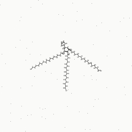 CCCCCCCCCCCCCCCCCCOc1cc(C2CSSC2)cc(OCCCCCCCCCCCCCCCCCC)c1OCCCCCCCCCCCCCCCCCC